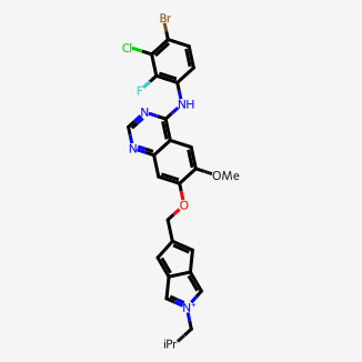 COc1cc2c(Nc3ccc(Br)c(Cl)c3F)ncnc2cc1OCC1=CC2=C[N+](CC(C)C)=CC2=C1